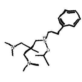 CC(C)O[SiH](CCc1ccccc1)CC(C)(CN(C)C)CN(C)C